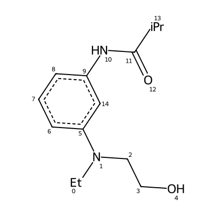 CCN(CCO)c1cccc(NC(=O)C(C)C)c1